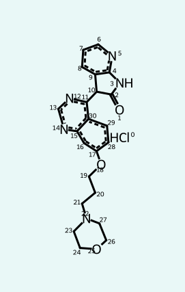 Cl.O=C1Nc2ncccc2C1c1ncnc2cc(OCCCN3CCOCC3)ccc12